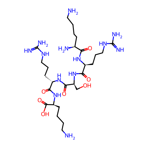 N=C(N)NCCC[C@H](NC(=O)[C@H](CO)NC(=O)[C@H](CCCNC(=N)N)NC(=O)[C@@H](N)CCCCN)C(=O)N[C@@H](CCCCN)C(=O)O